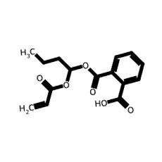 C=CC(=O)OC(CCC)OC(=O)c1ccccc1C(=O)O